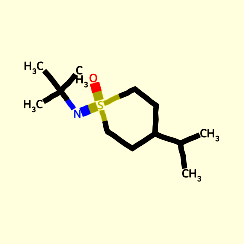 CC(C)C1CCS(=O)(=NC(C)(C)C)CC1